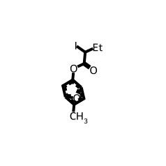 CCC(I)C(=O)Oc1cc2oc1cc2C